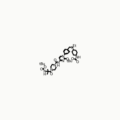 CCN(Cc1ccc(-n2ccc(NC(=O)N3CCN(C(=O)C(C)(C)NC(=O)OC(C)(C)C)CC3)nc2=O)cc1)C1CCC(NC(=O)OC(C)(C)C)CC1